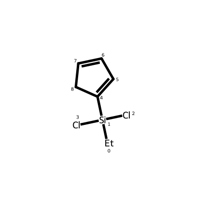 CC[Si](Cl)(Cl)C1=CC=CC1